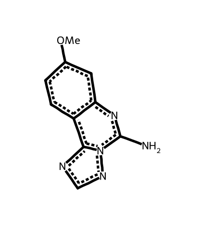 COc1ccc2c(c1)nc(N)n1ncnc21